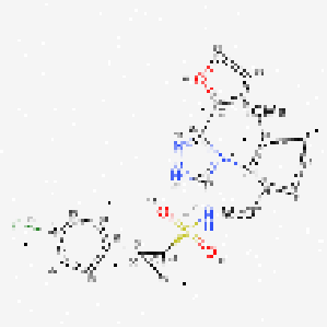 COc1cccc(OC)c1-n1c(NS(=O)(=O)[C@H]2C[C@@H]2c2ccc(Cl)cc2)nnc1-c1ccco1